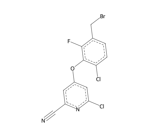 N#Cc1cc(Oc2c(Cl)ccc(CBr)c2F)cc(Cl)n1